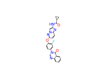 O=C(Nc1cn2nc(Oc3ccc(-n4cnc5ccccc5c4=O)cc3F)ccc2n1)C1CC1